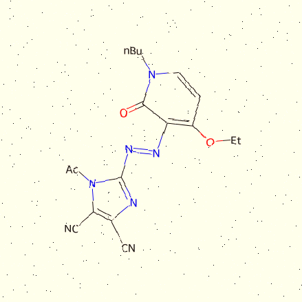 CCCCn1ccc(OCC)c(/N=N/c2nc(C#N)c(C#N)n2C(C)=O)c1=O